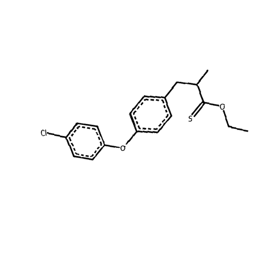 CCOC(=S)C(C)Cc1ccc(Oc2ccc(Cl)cc2)cc1